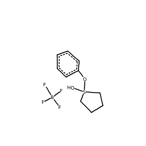 F[B-](F)(F)F.OS1(Oc2ccccc2)CCCC1